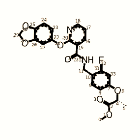 COC(=O)[C@@H](C)Oc1ccc(CNC(=O)c2cccnc2Oc2ccc3c(c2)OCO3)c(F)c1